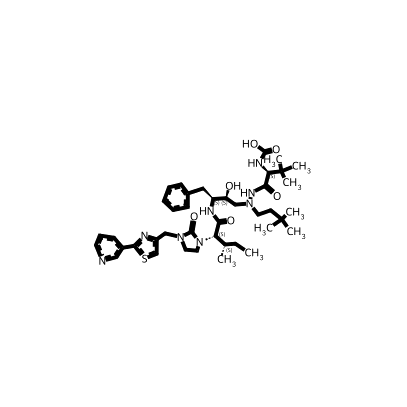 CC[C@H](C)[C@@H](C(=O)N[C@@H](Cc1ccccc1)[C@@H](O)CN(CCC(C)(C)C)NC(=O)[C@@H](NC(=O)O)C(C)(C)C)N1CCN(Cc2csc(-c3cccnc3)n2)C1=O